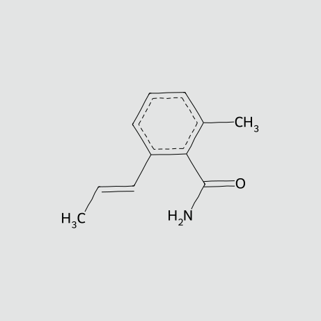 CC=Cc1cccc(C)c1C(N)=O